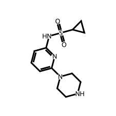 O=S(=O)(Nc1cccc(N2CCNCC2)n1)C1CC1